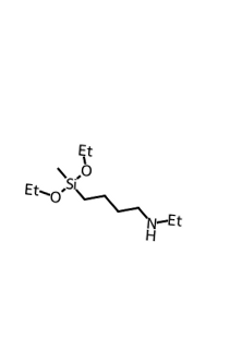 CCNCCCC[Si](C)(OCC)OCC